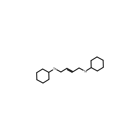 C(=CC[Te]C1CCCCC1)C[Te]C1CCCCC1